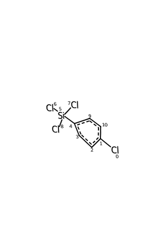 Clc1ccc([Si](Cl)(Cl)Cl)cc1